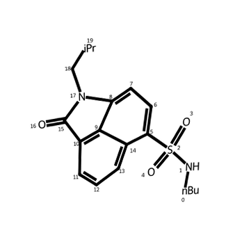 CCCCNS(=O)(=O)c1ccc2c3c(cccc13)C(=O)N2CC(C)C